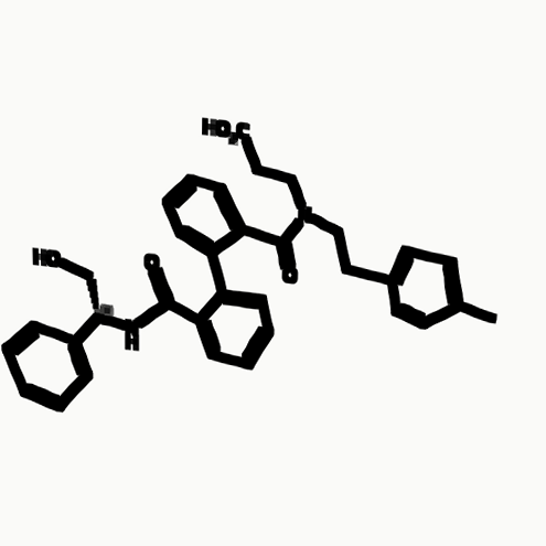 Cc1ccc(CCN(CCC(=O)O)C(=O)c2ccccc2-c2ccccc2C(=O)N[C@@H](CO)c2ccccc2)cc1